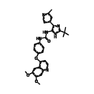 COc1cc2nccc(Oc3ccc(NC(=O)Nc4[nH]c(C(C)(C)C)nc4-c4ccnc(C)c4)cc3)c2cc1OC